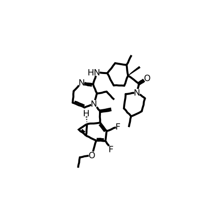 C=C(C1=C(F)C(F)=C(OCC)C2=C[C@H]21)N1C=CCN=C(NC2CC[C@@](C)(C(=O)N3CCC(C)CC3)C(C)C2)C1CC